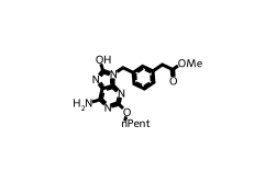 CCCCCOc1nc(N)c2nc(O)n(Cc3cccc(CC(=O)OC)c3)c2n1